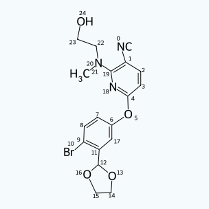 [C-]#[N+]c1ccc(Oc2ccc(Br)c(C3OCCO3)c2)nc1N(C)CCO